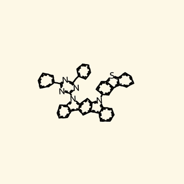 c1ccc(-c2nc(-c3ccccc3)nc(-n3c4ccccc4c4cc5c6ccccc6n(-c6ccc7sc8ccccc8c7c6)c5cc43)n2)cc1